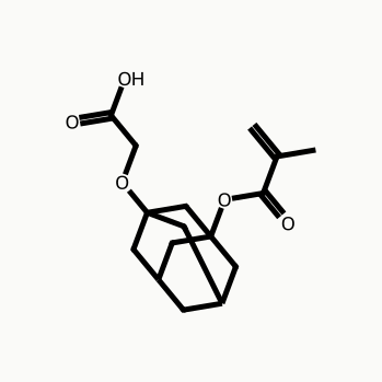 C=C(C)C(=O)OC12CC3CC(CC(OCC(=O)O)(C3)C1)C2